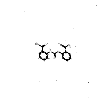 O=C(Oc1ccccc1C(=O)O)Oc1ccccc1C(=O)O